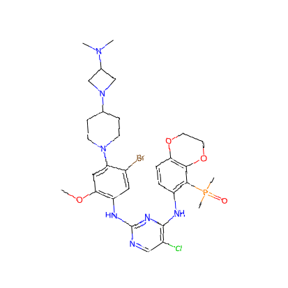 COc1cc(N2CCC(N3CC(N(C)C)C3)CC2)c(Br)cc1Nc1ncc(Cl)c(Nc2ccc3c(c2P(C)(C)=O)OCCO3)n1